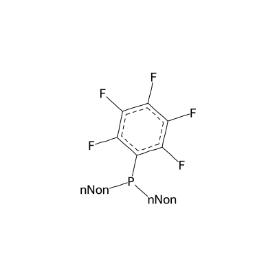 CCCCCCCCCP(CCCCCCCCC)c1c(F)c(F)c(F)c(F)c1F